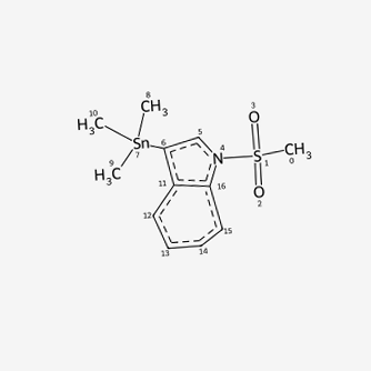 CS(=O)(=O)n1c[c]([Sn]([CH3])([CH3])[CH3])c2ccccc21